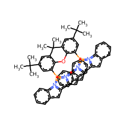 CC(C)(C)c1cc(-p2n3c4ccccc4cc3c3cc4ccccc4n32)c2c(c1)C(C)(C)c1cc(C(C)(C)C)cc(-p3n4c5ccccc5cc4c4cc5ccccc5n43)c1O2